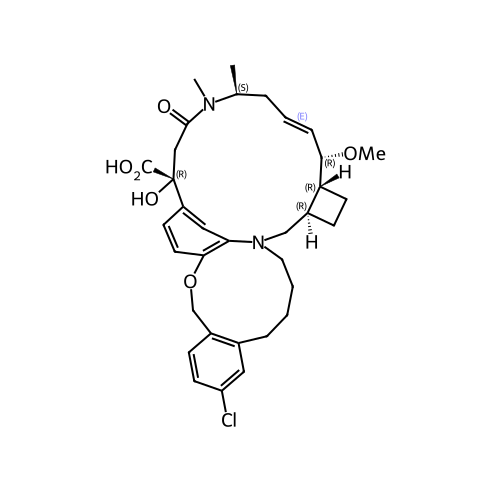 CO[C@H]1/C=C/C[C@H](C)N(C)C(=O)C[C@](O)(C(=O)O)c2ccc3c(c2)N(CCCCc2cc(Cl)ccc2CO3)C[C@@H]2CC[C@H]21